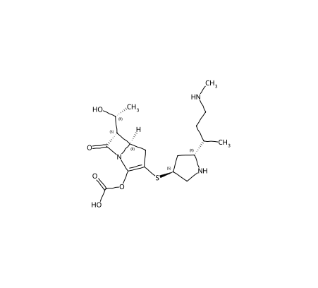 CNCCC(C)[C@H]1C[C@H](SC2=C(OC(=O)O)N3C(=O)[C@H]([C@@H](C)O)[C@H]3C2)CN1